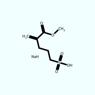 C=C(CCCS(=O)(=O)O)C(=O)OC.[NaH]